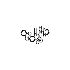 O=S1(=O)N=C(Nc2ncccn2)Nc2c(Oc3ccccc3Cl)cccc21